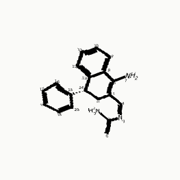 C=C(N)/N=C\C1=C(N)c2ccccc2[C@@H](c2ccccc2)C1